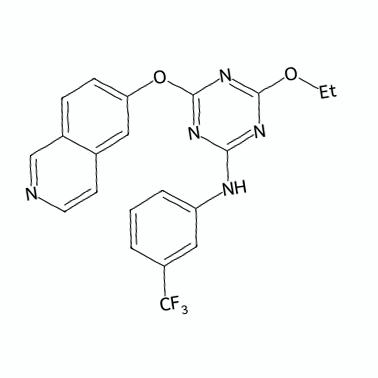 CCOc1nc(Nc2cccc(C(F)(F)F)c2)nc(Oc2ccc3cnccc3c2)n1